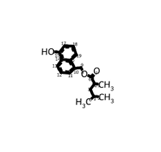 CC(C)CC(C)C(=O)OCc1cccc2c(O)cccc12